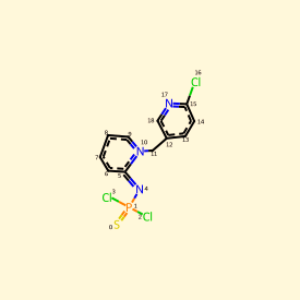 S=P(Cl)(Cl)N=c1ccccn1Cc1ccc(Cl)nc1